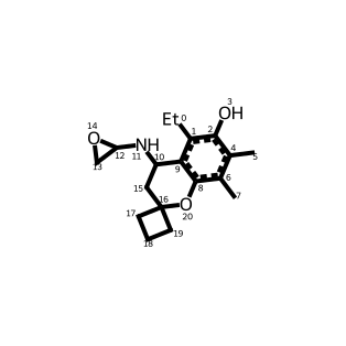 CCc1c(O)c(C)c(C)c2c1C(NC1CO1)CC1(CCC1)O2